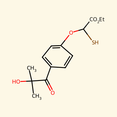 CCOC(=O)C(S)Oc1ccc(C(=O)C(C)(C)O)cc1